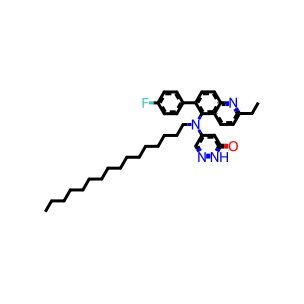 CCCCCCCCCCCCCCCCN(c1cn[nH]c(=O)c1)c1c(-c2ccc(F)cc2)ccc2nc(CC)ccc12